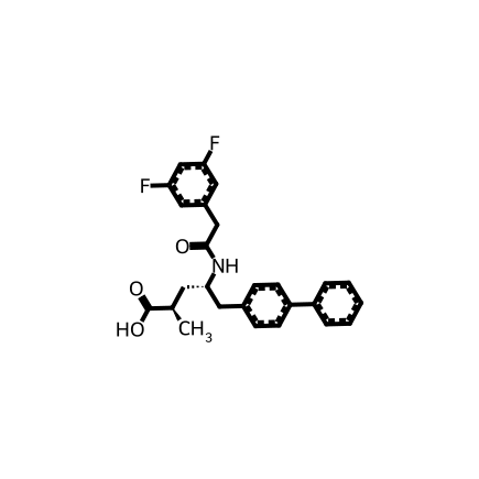 C[C@H](C[C@@H](Cc1ccc(-c2ccccc2)cc1)NC(=O)Cc1cc(F)cc(F)c1)C(=O)O